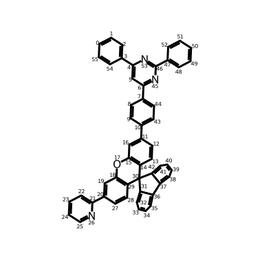 c1ccc(-c2cc(-c3ccc(-c4ccc5c(c4)Oc4cc(-c6ccccn6)ccc4C54c5ccccc5-c5ccccc54)cc3)nc(-c3ccccc3)n2)cc1